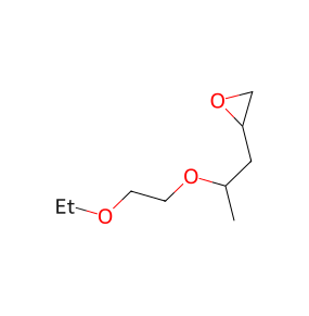 CCOCCOC(C)CC1CO1